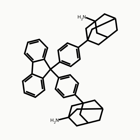 NC12CC3CC(C1)CC(c1ccc(C4(c5ccc(C67CC8CC(CC(N)(C8)C6)C7)cc5)c5ccccc5-c5ccccc54)cc1)(C3)C2